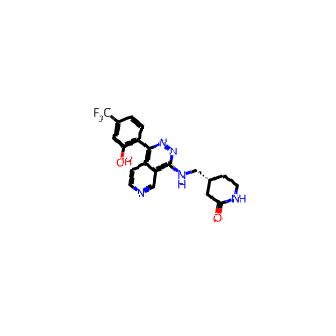 O=C1C[C@H](CNc2nnc(-c3ccc(C(F)(F)F)cc3O)c3ccncc23)CCN1